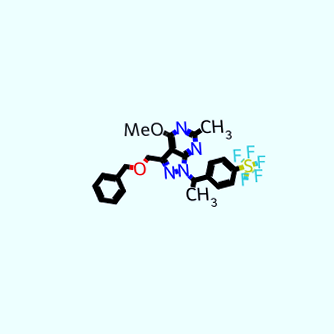 COc1nc(C)nc2c1c(COCc1ccccc1)nn2C(C)c1ccc(S(F)(F)(F)(F)F)cc1